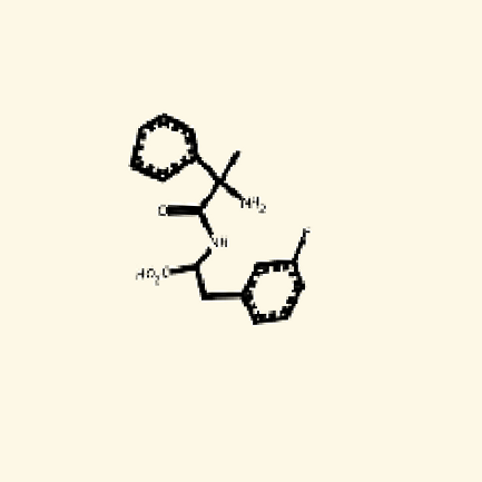 CC(N)(C(=O)NC(Cc1cccc(F)c1)C(=O)O)c1ccccc1